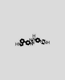 c1cc(-c2ccc3nnc(Nc4ccc(N5CCNCC5)cc4)nc3c2)c2cc[nH]c2c1